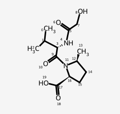 CC(C)[C@H](NC(=O)CO)C(=O)N1[C@@H](C)CC[C@H]1C(=O)O